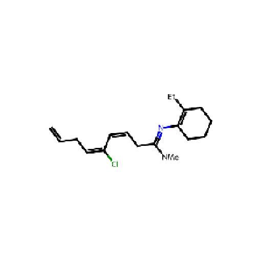 C=CC/C=C(Cl)\C=C/C/C(=N/C1=C(CC)CCCC1)NC